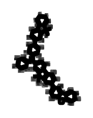 CC1(C)c2ccccc2-c2ccc(-c3ccc(N(c4ccccc4)c4ccc5c(c4)C(C)(C)c4cc(-c6ccc7oc8ccccc8c7c6)ccc4-5)cc3)cc21